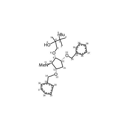 CCCCC(C)(C)C(C)(O)CO[C@H]1[C@H](NC)[C@@H](OCc2ccccc2)C[C@H]1OCc1ccccc1